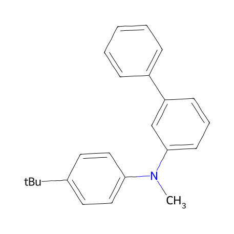 CN(c1ccc(C(C)(C)C)cc1)c1cccc(-c2ccccc2)c1